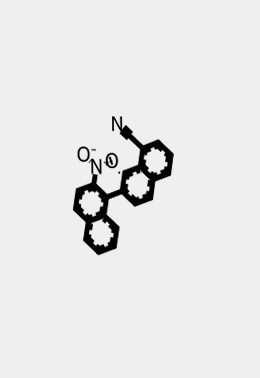 N#Cc1cccc2ccc(-c3c([N+](=O)[O-])ccc4ccccc34)[c]c12